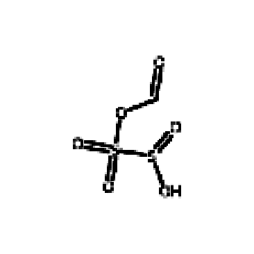 O=COS(=O)(=O)S(=O)O